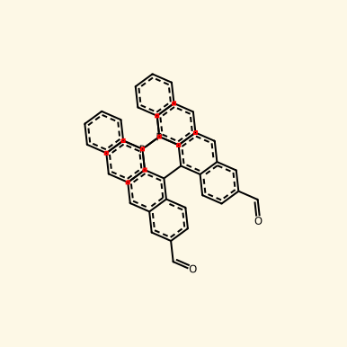 O=Cc1ccc2c(-c3c(P(c4ccccc4)c4ccccc4)ccc4cc(C=O)ccc34)c(P(c3ccccc3)c3ccccc3)ccc2c1